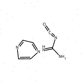 N=C(N)N=C=O.c1cnccn1